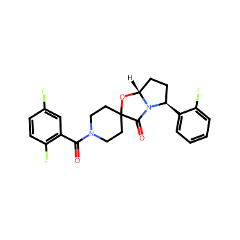 O=C(c1cc(F)ccc1F)N1CCC2(CC1)O[C@@H]1CC[C@@H](c3ccccc3F)N1C2=O